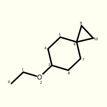 CCOC1CCC2(CC1)CC2